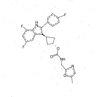 Cc1cnc(CNC(=O)O[C@H]2C[C@H](c3c(-c4ccc(F)cc4)[nH]c4c(F)cc(F)cc43)C2)o1